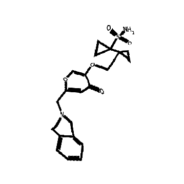 NS(=O)(=O)C1(C2(COc3coc(CN4Cc5ccccc5C4)cc3=O)CC2)CC1